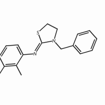 Cc1c(Cl)cccc1/N=C1\SCCN1Cc1ccccc1